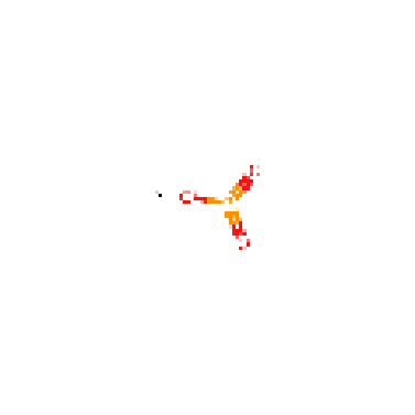 O=P(=O)[O-].[Ni]